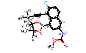 CC(C)[Si](C#Cc1c(F)ccc2cc(NC(=O)OC(C)(C)C)cc(B3OC(C)(C)C(C)(C)O3)c12)(C(C)C)C(C)C